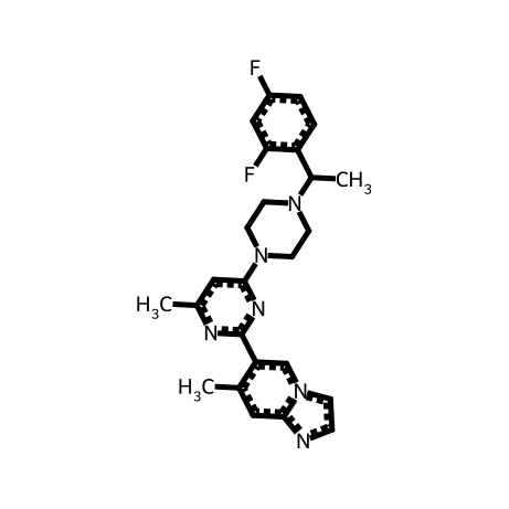 Cc1cc(N2CCN(C(C)c3ccc(F)cc3F)CC2)nc(-c2cn3ccnc3cc2C)n1